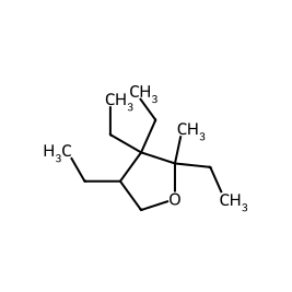 CCC1COC(C)(CC)C1(CC)CC